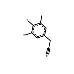 Cc1cc(CC#N)cc(F)c1F